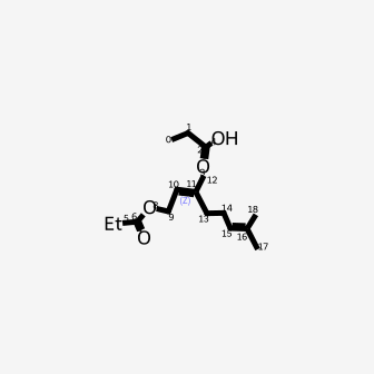 CCC(=O)O.CCC(=O)OC/C=C(/C)CCC=C(C)C